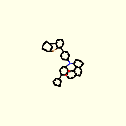 C1=CC2=CC(C=C1)c1cccc(-c3ccc(N(c4ccc(-c5ccccc5)cc4)c4cccc5ccc6ccccc6c45)cc3)c1S2